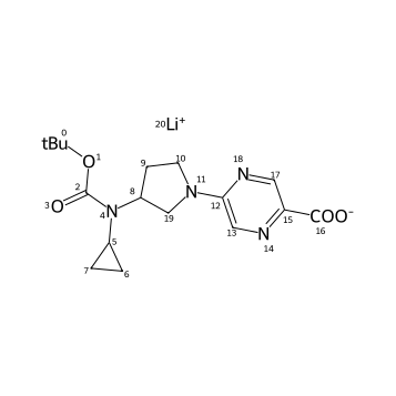 CC(C)(C)OC(=O)N(C1CC1)C1CCN(c2cnc(C(=O)[O-])cn2)C1.[Li+]